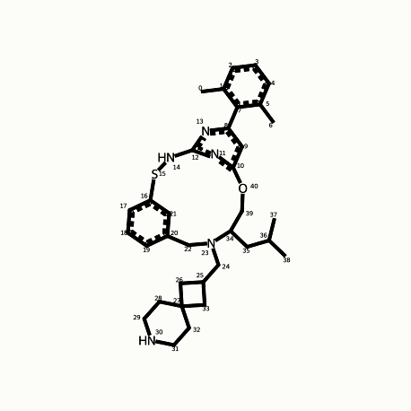 Cc1cccc(C)c1-c1cc2nc(n1)NSc1cccc(c1)CN(CC1CC3(CCNCC3)C1)C(CC(C)C)CO2